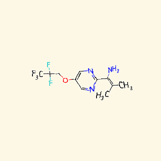 CC(C)=C(N)c1ncc(OCC(F)(F)C(F)(F)F)cn1